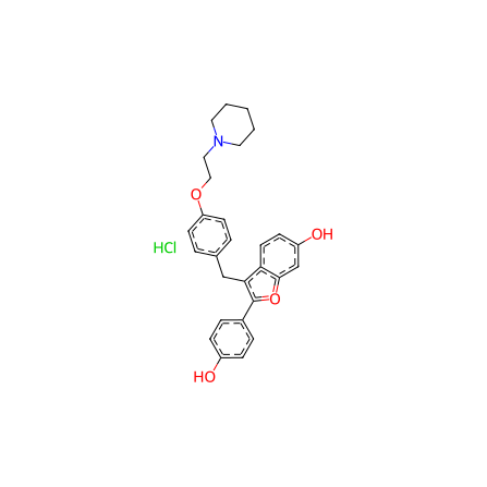 Cl.Oc1ccc(-c2oc3cc(O)ccc3c2Cc2ccc(OCCN3CCCCC3)cc2)cc1